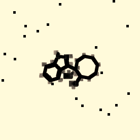 O[C]1CCCCCC[C@]1(O)c1nsc2ccccc12